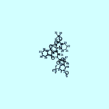 COc1cc(C(C)(C)C)c(OC(=O)C[C@@H](C)[C@H](C(=O)N2CCCC[C@H]2C(=O)OC(C)(C)C)N2C(=O)c3ccccc3C2=O)c(C(C)(C)C)c1